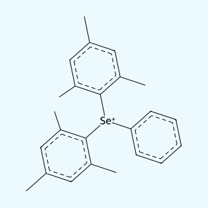 Cc1cc(C)c([Se+](c2ccccc2)c2c(C)cc(C)cc2C)c(C)c1